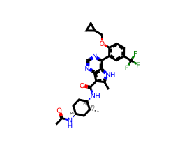 CC(=O)N[C@@H]1CC[C@H](NC(=O)c2c(C)[nH]c3c(-c4cc(C(F)(F)F)ccc4OCC4CC4)ncnc23)[C@H](C)C1